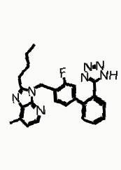 CCCCc1nc2c(C)ccnc2n1Cc1ccc(-c2ccccc2-c2nnn[nH]2)cc1F